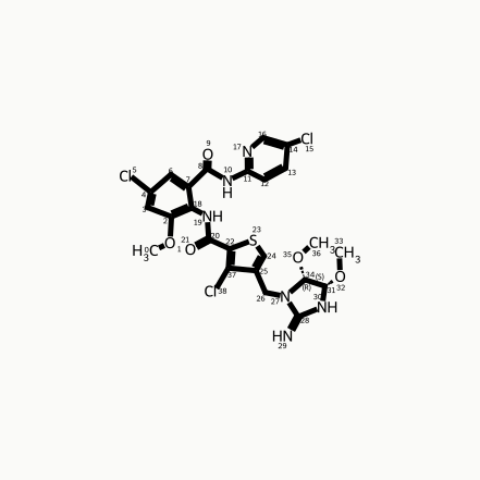 COc1cc(Cl)cc(C(=O)Nc2ccc(Cl)cn2)c1NC(=O)c1scc(CN2C(=N)N[C@@H](OC)[C@H]2OC)c1Cl